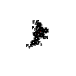 N#Cc1cc(-n2c3ccccc3c3cc(-c4ccc(C(F)(F)F)cc4C(F)(F)F)ccc32)c(-c2ccncc2)c(-n2c3ccccc3c3cc(-c4ccc(C(F)(F)F)cc4C(F)(F)F)ccc32)c1